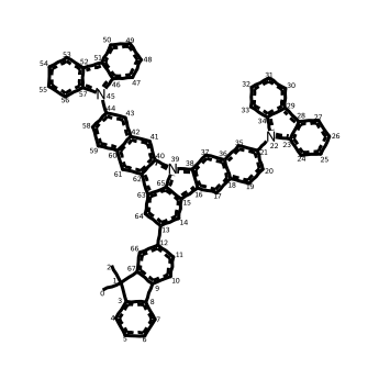 CC1(C)c2ccccc2-c2ccc(-c3cc4c5cc6ccc(-n7c8ccccc8c8ccccc87)cc6cc5n5c6cc7cc(-n8c9ccccc9c9ccccc98)ccc7cc6c(c3)c45)cc21